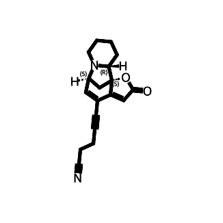 N#CCCC#CC1=C[C@@H]2C[C@@]3(OC(=O)C=C13)[C@H]1CCCCN21